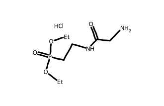 CCOP(=O)(CCNC(=O)CN)OCC.Cl